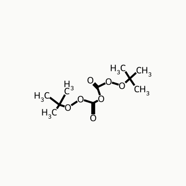 CC(C)(C)OOC(=O)OC(=O)OOC(C)(C)C